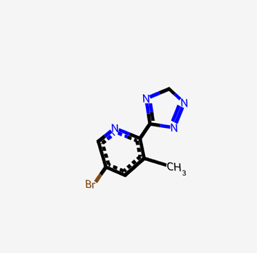 Cc1cc(Br)cnc1C1=NCN=N1